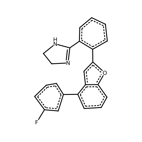 Fc1cccc(-c2cccc3oc(-c4ccccc4C4=NCCN4)cc23)c1